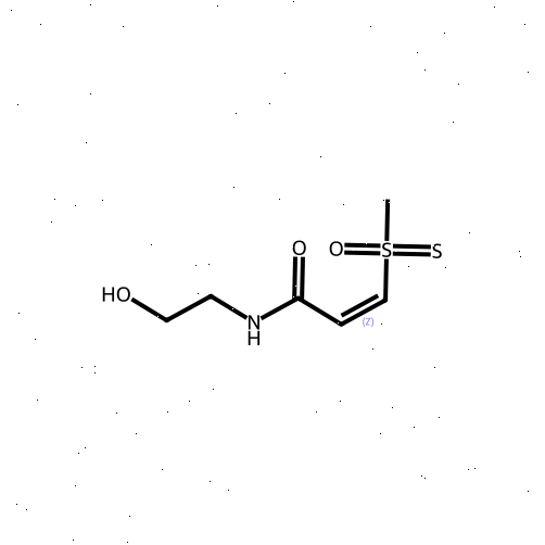 CS(=O)(=S)/C=C\C(=O)NCCO